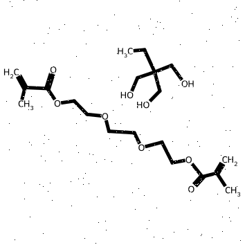 C=C(C)C(=O)OCCOCCOCCOC(=O)C(=C)C.CCC(CO)(CO)CO